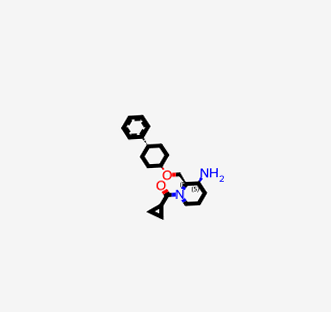 N[C@H]1CCCN(C(=O)C2CC2)[C@H]1CO[C@H]1CC[C@@H](c2ccccc2)CC1